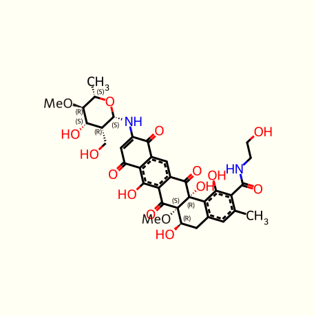 CO[C@@H]1[C@@H](O)[C@@H](CO)[C@@H](NC2=CC(=O)c3c(cc4c(c3O)C(=O)[C@]3(OC)[C@H](O)Cc5cc(C)c(C(=O)NCCO)c(O)c5[C@]3(O)C4=O)C2=O)O[C@H]1C